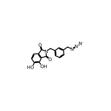 [N-]=[N+]=NCc1cccc(CN2C(=O)c3ccc(O)c(O)c3C2=O)c1